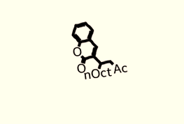 CCCCCCCCC(CC(C)=O)c1cc2ccccc2oc1=O